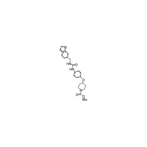 CC(C)(C)OC(=O)N1CCC(Oc2ccc(NC(=O)NCc3ccn4ccnc4c3)cc2)CC1